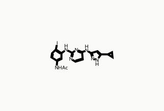 CC(=O)Nc1ccc(I)c(Nc2nccc(Nc3cc(C4CC4)[nH]n3)n2)c1